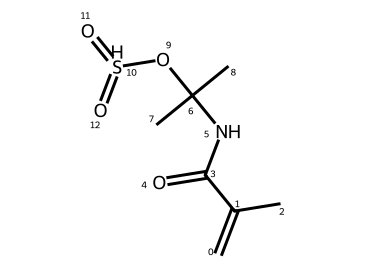 C=C(C)C(=O)NC(C)(C)O[SH](=O)=O